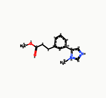 COC(=O)CCc1cccc(-c2cncn2C)c1